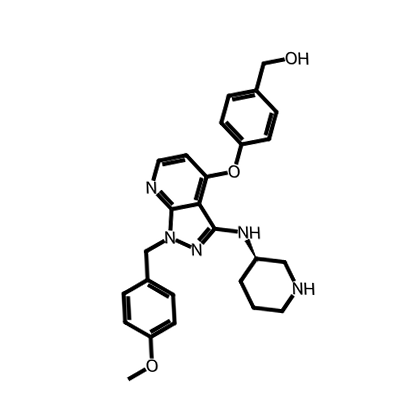 COc1ccc(Cn2nc(N[C@@H]3CCCNC3)c3c(Oc4ccc(CO)cc4)ccnc32)cc1